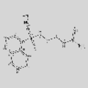 Cl.Cl.N=C(N)NCCNS(=O)(=O)c1cccc2cnccc12